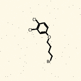 Clc1ccc(OCCCCBr)cc1Cl